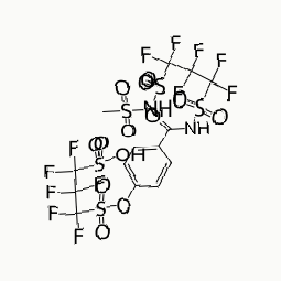 CS(=O)(=O)NS(=O)(=O)C(F)(F)C(F)(F)C(F)(F)S(=O)(=O)NC(=O)c1ccc(OS(=O)(=O)C(F)(F)C(F)(F)C(F)(F)S(=O)(=O)O)cc1